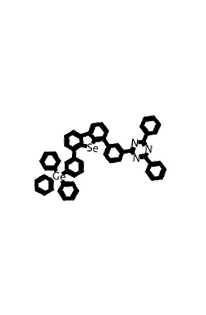 c1ccc(-c2nc(-c3ccccc3)nc(-c3cccc(-c4cccc5c4[se]c4c(-c6ccc[c]([Ge]([c]7ccccc7)([c]7ccccc7)[c]7ccccc7)c6)cccc45)c3)n2)cc1